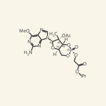 COc1nc(N)nc2c1ncn2[C@@H]1O[C@@H]2CO[P@](=O)(OCC(=O)OC(C)C)O[C@H]2[C@@]1(C)OC(C)=O